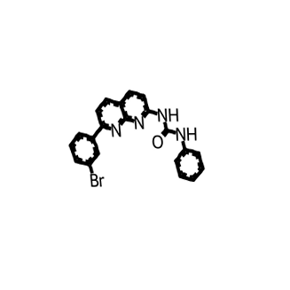 O=C(Nc1ccccc1)Nc1ccc2ccc(-c3cccc(Br)c3)nc2n1